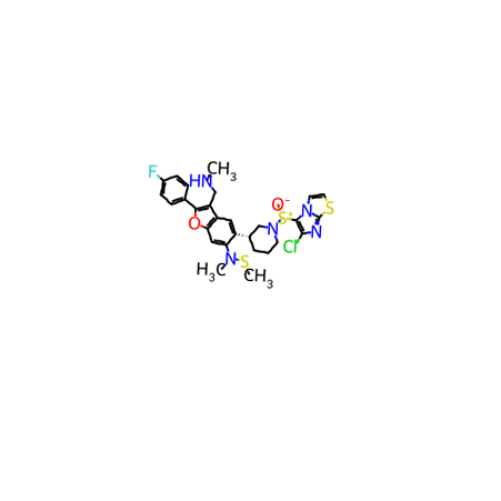 CNCc1c(-c2ccc(F)cc2)oc2cc(N(C)SC)c([C@H]3CCCN([S+]([O-])c4c(Cl)nc5sccn45)C3)cc12